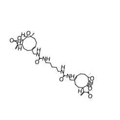 C=C1C(=O)O[C@H]2[C@H]1CC/C(CNC(=O)NCCCCCNC(=O)NC/C1=C/CC[C@@]3(C)O[C@H]3[C@H]3OC(=O)C(=C)[C@@H]3CC1)=C\CC[C@@]1(C)O[C@@H]21